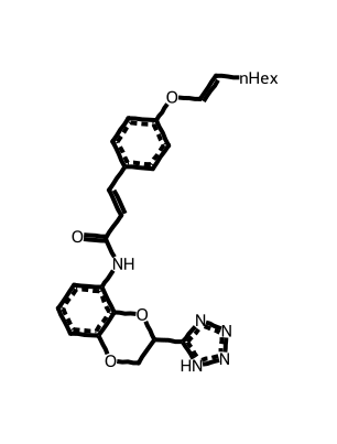 CCCCCC/C=C/Oc1ccc(/C=C/C(=O)Nc2cccc3c2OC(c2nnn[nH]2)CO3)cc1